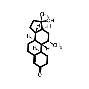 C[C@H]1C[C@H]2[C@@H](CC[C@]2(C)O)[C@@H]2CCC3=CC(=O)CC[C@@H]3[C@H]21